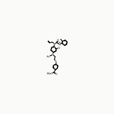 C=CCN(C(=O)Nc1ccccc1C)c1ccc(N(CCOc2ccc(C(=O)OC)cc2)C(C)=O)cc1Cl